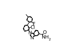 Cc1ccc(F)c(-c2cccc(-n3cnc4cc(C(N)=O)ccc43)c2Cl)c1